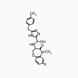 Cc1ccc(Cc2nnc(C(O)NC3COc4ccc(F)cc4N(C)C3=O)[nH]2)cc1